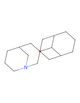 C1CC2CCCC(C1)C2C1CC2CCCN(C2)C1